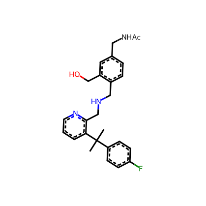 CC(=O)NCc1ccc(CNCc2ncccc2C(C)(C)c2ccc(F)cc2)c(CO)c1